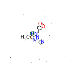 Cc1sc2nc(-c3cccnc3)nc(NCc3ccc4c(c3)OCCO4)c2c1Cl